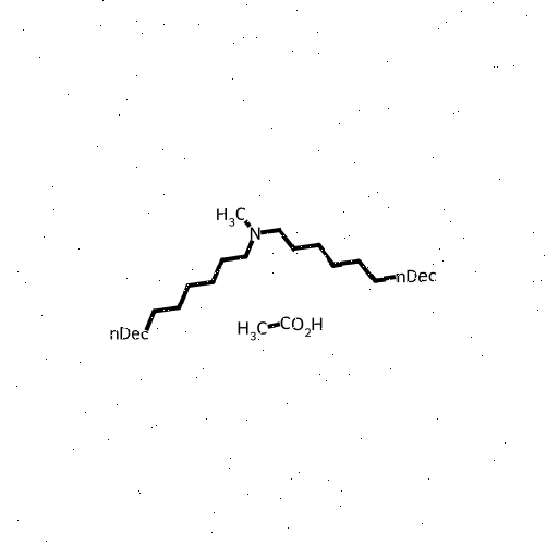 CC(=O)O.CCCCCCCCCCCCCCCCN(C)CCCCCCCCCCCCCCCC